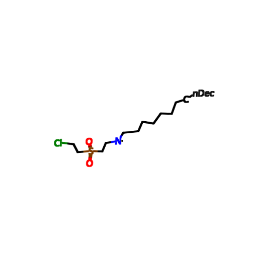 CCCCCCCCCCCCCCCCCC[N]CCS(=O)(=O)CCCl